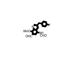 COc1c(C=O)cc(NC=O)c2cc(Cc3ccc(F)cc3)cnc12